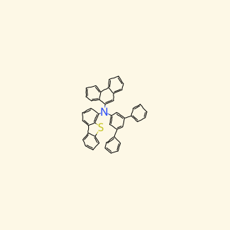 c1ccc(-c2cc(-c3ccccc3)cc(N(c3cc4ccccc4c4ccccc34)c3cccc4c3sc3ccccc34)c2)cc1